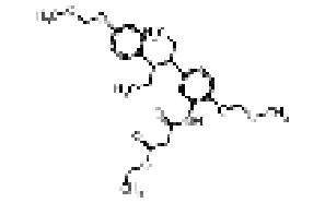 CCOC(=O)CC(=O)Nc1cc(C(CC)C(CC)c2ccc(OCOC)cc2)ccc1OCOC